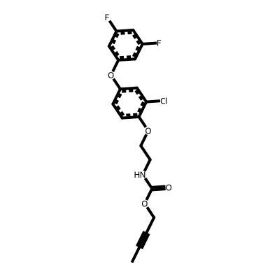 CC#CCOC(=O)NCCOc1ccc(Oc2cc(F)cc(F)c2)cc1Cl